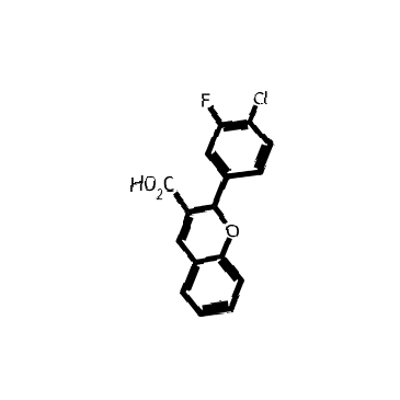 O=C(O)C1=Cc2ccccc2OC1c1ccc(Cl)c(F)c1